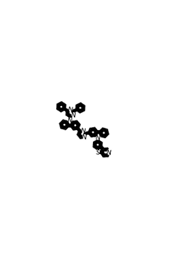 c1ccc(-c2cc(-n3c4ccccc4c4cc(-c5ccnc(-c6ccc7c8ccccc8n(-c8ccc9sc%10ccncc%10c9c8)c7c6)n5)ccc43)nc(-c3ccccc3)n2)cc1